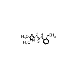 CCc1ccccc1NC(=S)Nc1nc(C)c(C)s1